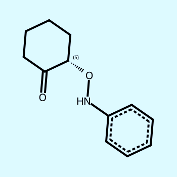 O=C1CCCC[C@@H]1ONc1ccccc1